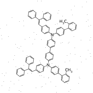 Cc1ccccc1-c1ccc(N(c2ccc(C=C(c3ccccc3)c3ccccc3)cc2)c2ccc(-c3ccc(N(c4ccc(C=C(c5ccccc5)c5ccccc5)cc4)c4ccc(-c5ccccc5C)cc4)cc3)cc2)cc1